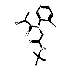 Cc1ccccc1N(CC(=O)NC(C)(C)C)C(=O)C(C)Cl